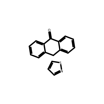 O=C1c2ccccc2Cc2ccccc21.c1cnsc1